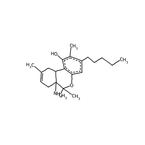 CCCCCc1cc2c(c(O)c1C)C1CC(C)=CCC1(N)C(C)(C)O2